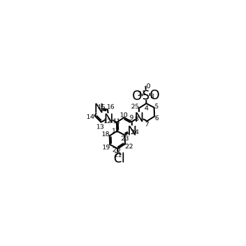 CS(=O)(=O)C1CCCN(c2cc(-n3ccnc3)c3ccc(Cl)cc3n2)C1